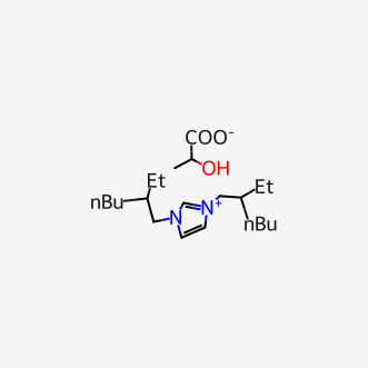 CC(O)C(=O)[O-].CCCCC(CC)Cn1cc[n+](CC(CC)CCCC)c1